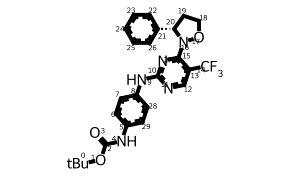 CC(C)(C)OC(=O)Nc1ccc(Nc2ncc(C(F)(F)F)c(N3OCC[C@H]3c3ccccc3)n2)cc1